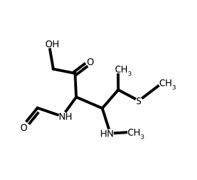 CNC(C(C)SC)C(NC=O)C(=O)CO